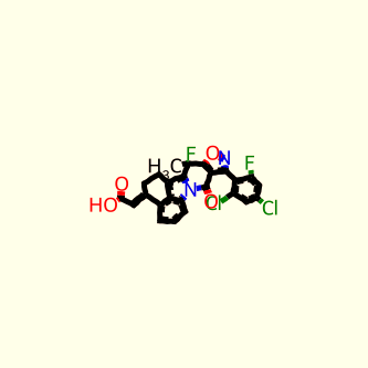 CC1(F)c2onc(-c3c(F)cc(Cl)cc3Cl)c2C(=O)n2c1c1c3c(cccc32)/C(=C/C(=O)O)CC1